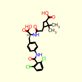 CC1(C)C(CC(=O)N[C@@H](Cc2ccc(NC(=O)c3c(Cl)cccc3Cl)cc2)C(=O)O)CC1C(=O)O